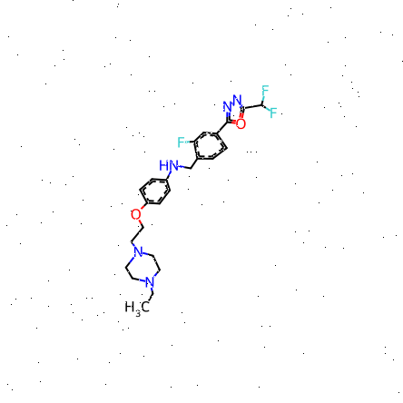 CCN1CCN(CCOc2ccc(NCc3ccc(-c4nnc(C(F)F)o4)cc3F)cc2)CC1